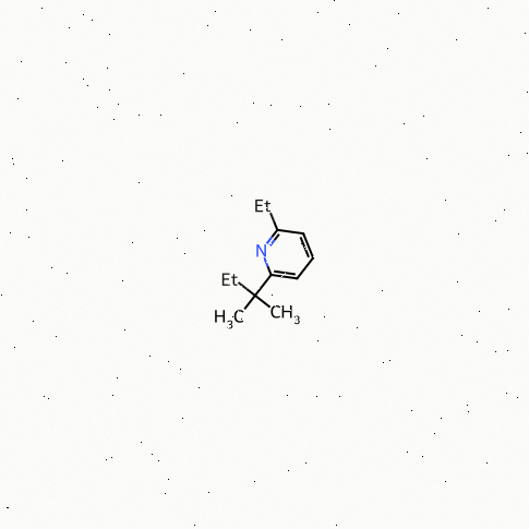 CCc1cccc(C(C)(C)CC)n1